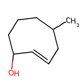 CC1C/C=C/C(O)CCC1